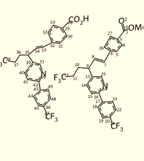 COC(=O)c1ccc(C=CC(CCC(F)(F)F)c2ccc(-c3ccc(C(F)(F)F)cc3)nc2)cc1.O=C(O)c1ccc(C=CC(CCC(F)(F)F)c2ccc(-c3ccc(C(F)(F)F)cc3)nc2)cc1